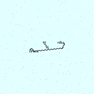 CCCC/C=C\C/C=C\CCCCCCCCC(CCCCCCCC/C=C\C/C=C\CCCCC)SSCCN(C)C